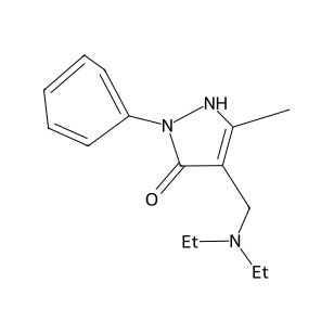 CCN(CC)Cc1c(C)[nH]n(-c2ccccc2)c1=O